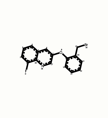 Fc1cccc2cc(Oc3ccccc3CBr)cnc12